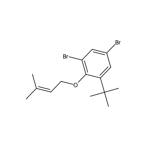 CC(C)=CCOc1c(Br)cc(Br)cc1C(C)(C)C